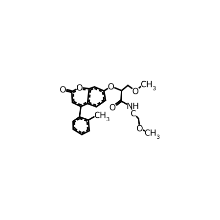 COCCNC(=O)C(COC)Oc1ccc2c(-c3ccccc3C)cc(=O)oc2c1